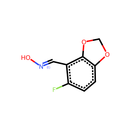 O/N=C/c1c(F)ccc2c1OCO2